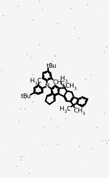 Cc1cc(C(C)(C)C)ccc1N(c1ccc(C(C)(C)C)cc1C)c1cc2c(c3c1=CCCC=3)C1=CC3=C(CC1C2(C)C)c1ccccc1C3(C)C